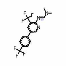 CN(C)/C=N/c1ncc(-c2ccc(C(F)(F)F)cc2)cc1C(F)(F)F